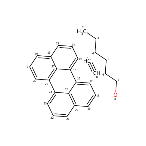 C#C.CCCCCC[O].c1cc2cccc3c4cccc5cccc(c(c1)c23)c54